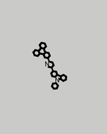 c1ccc(-n2c3ccccc3c3cc(-c4ccc(-c5ccc6c7ccccc7c7ccccc7c6c5)nc4)ccc32)cc1